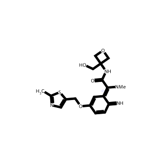 CN/C(C(=O)NC1(CO)COC1)=C1/C=C(OCc2cnc(C)s2)C=CC1=N